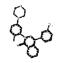 Cc1cccc(-c2nn(-c3cc(N4CCOCC4)ccc3Cl)c(=O)c3ccccc23)c1